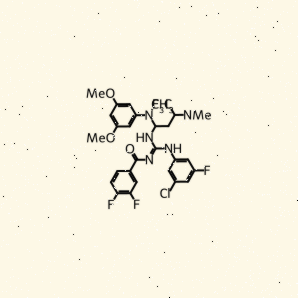 CNC(CC(N/C(=N\C(=O)c1ccc(F)c(F)c1)Nc1cc(F)cc(Cl)c1)N(C)c1cc(OC)cc(OC)c1)C(F)(F)F